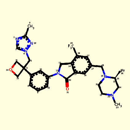 Cc1ncn(CC2(c3cccc(N4Cc5c(cc(CN6CCN(C)C[C@@H]6C(C)C)cc5C(F)(F)F)C4=O)c3)COC2)n1